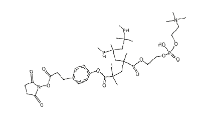 CPC(C)(C)CC(C)(CC(C)(CC(C)(C)C(=O)Oc1ccc(CCC(=O)ON2C(=O)CCC2=O)cc1)C(=O)OCCOP(=O)(O)OCC[N+](C)(C)C)PC